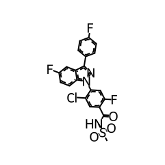 CS(=O)(=O)NC(=O)c1cc(Cl)c(-n2nc(-c3ccc(F)cc3)c3cc(F)ccc32)cc1F